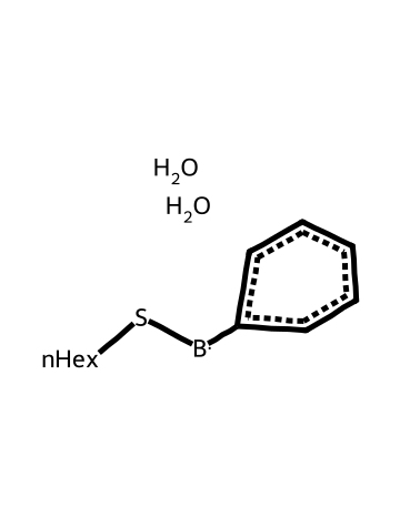 CCCCCCS[B]c1ccccc1.O.O